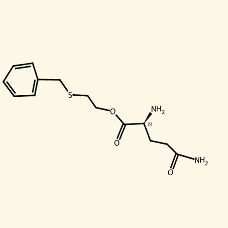 NC(=O)CC[C@H](N)C(=O)OCCSCc1ccccc1